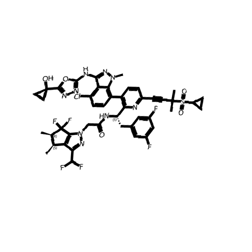 C[C@@H]1c2c(C(F)F)nn(CC(=O)N[C@@H](Cc3cc(F)cc(F)c3)c3nc(C#CC(C)(C)S(=O)(=O)C4CC4)ccc3-c3ccc(Cl)c4c(Nc5nnc(C6(O)CC6)o5)nn(C)c34)c2C(F)(F)[C@@H]1C